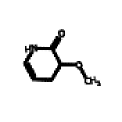 COC1CC=CNC1=O